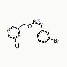 Clc1cccc(CO/N=[C]\c2cccc(Br)c2)c1